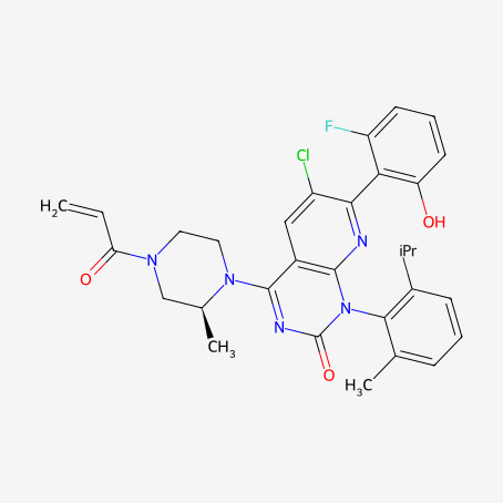 C=CC(=O)N1CCN(c2nc(=O)n(-c3c(C)cccc3C(C)C)c3nc(-c4c(O)cccc4F)c(Cl)cc23)[C@@H](C)C1